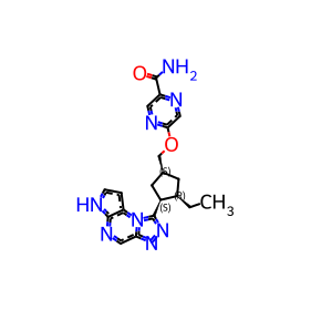 CC[C@@H]1C[C@H](COc2cnc(C(N)=O)cn2)C[C@@H]1c1nnc2cnc3[nH]ccc3n12